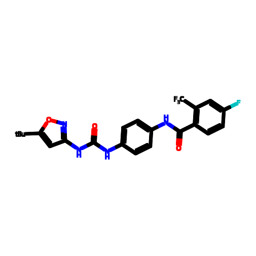 CC(C)(C)c1cc(NC(=O)Nc2ccc(NC(=O)c3ccc(F)cc3C(F)(F)F)cc2)no1